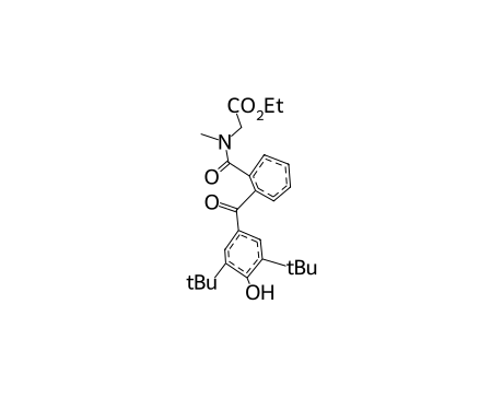 CCOC(=O)CN(C)C(=O)c1ccccc1C(=O)c1cc(C(C)(C)C)c(O)c(C(C)(C)C)c1